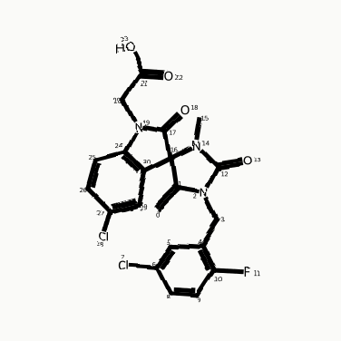 C=C1N(Cc2cc(Cl)ccc2F)C(=O)N(C)C12C(=O)N(CC(=O)O)c1ccc(Cl)cc12